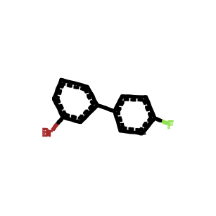 Fc1[c]cc(-c2cccc(Br)c2)cc1